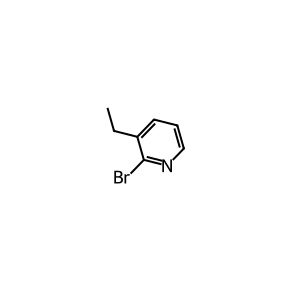 CCc1cccnc1Br